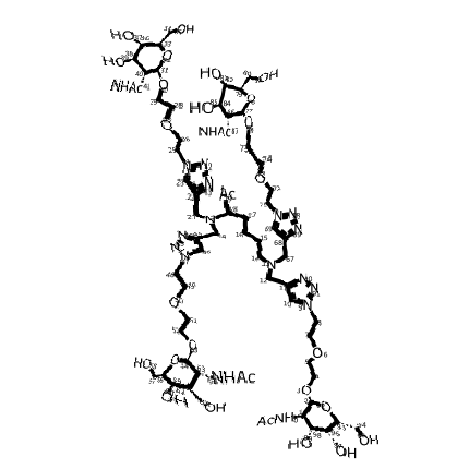 CC(=O)N[C@H]1[C@H](OCCOCCn2cc(CN(CCCCC(C(C)=O)N(Cc3cn(CCOCCO[C@@H]4O[C@H](CO)[C@H](O)[C@H](O)[C@H]4NC(C)=O)nn3)Cc3cn(CCOCCO[C@@H]4O[C@H](CO)[C@H](O)[C@H](O)[C@H]4NC(C)=O)nn3)Cc3cn(CCOCCO[C@@H]4O[C@H](CO)[C@H](O)[C@H](O)[C@H]4NC(C)=O)nn3)nn2)O[C@H](CO)[C@H](O)[C@@H]1O